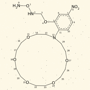 NONCOc1cc([N+](=O)[O-])ccc1N1CCOCCOCCOCCOCCOCC1